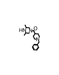 CC1CN(C(=O)C2CCN(Cc3ccccc3)CC2)CC(C)N1